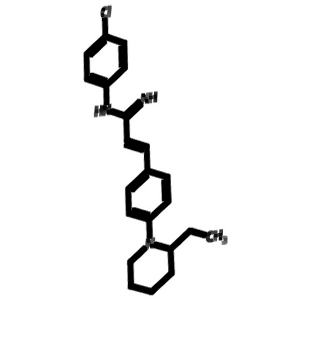 CCC1CCCCN1c1ccc(/C=C/C(=N)Nc2ccc(Cl)cc2)cc1